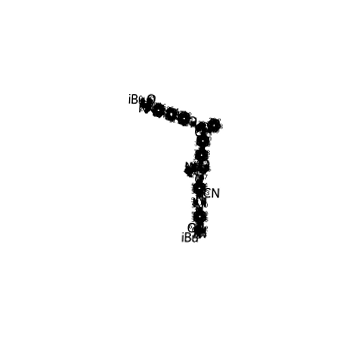 CCC(C)n1ncn(-c2ccc(N3CCN(c4ccc(OC[C@@H]5CO[C@@](Cc6ccccc6)(c6ccc(-c7ccc([C@]8(Cn9nccn9)C[C@@H](COc9ccc(N%10CCN(c%11ccc(-n%12cnn(C(C)CC)c%12=O)cc%11)CC%10)c(C#N)c9)CO8)cc7)cc6)O5)cc4)CC3)cc2)c1=O